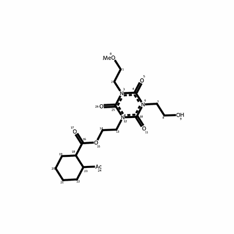 COCCn1c(=O)n(CCO)c(=O)n(CCOC(=O)C2CCCCC2C(C)=O)c1=O